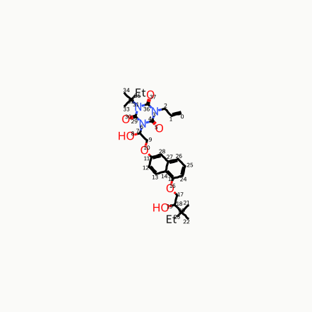 C=CCn1c(=O)n(C(O)COc2ccc3c(OCC(O)C(C)(C)CC)cccc3c2)c(=O)n(C(C)(C)CC)c1=O